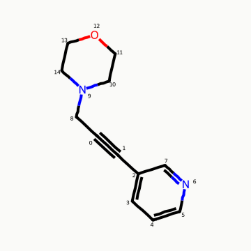 C(#Cc1c[c]cnc1)CN1CCOCC1